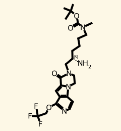 CN(CCCC[C@H](N)CN1CCn2c(cc3c(OCC(F)(F)F)nccc32)C1=O)C(=O)OC(C)(C)C